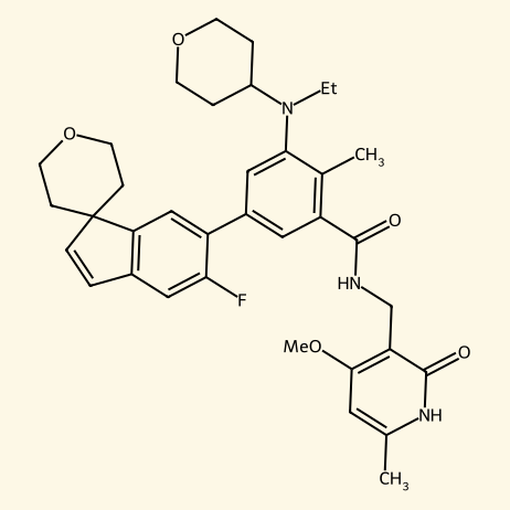 CCN(c1cc(-c2cc3c(cc2F)C=CC32CCOCC2)cc(C(=O)NCc2c(OC)cc(C)[nH]c2=O)c1C)C1CCOCC1